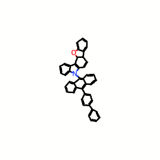 C1=CC2c3ccccc3OC2c2c1n(-c1c3ccccc3c(-c3ccc(-c4ccccc4)cc3)c3ccccc13)c1ccccc21